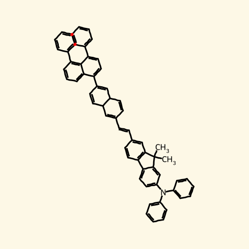 CC1(C)c2cc(/C=C/C3=CC4C=CC(c5ccc(-c6ccccc6)c6c(-c7ccccc7)cccc56)=CC4C=C3)ccc2-c2ccc(N(c3ccccc3)c3ccccc3)cc21